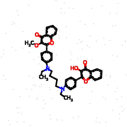 CCN(CCCCN(CC)c1ccc(-c2oc3ccccc3c(=O)c2OC)cc1)c1ccc(-c2oc3ccccc3c(=O)c2O)cc1